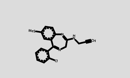 C#CCNC1=Nc2ccc(SC)cc2C(c2ccccc2Cl)=NC1